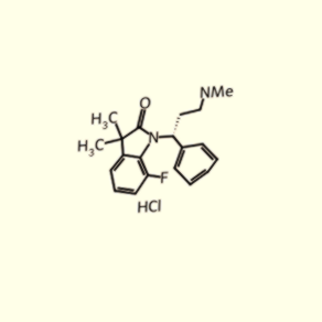 CNCC[C@H](c1ccccc1)N1C(=O)C(C)(C)c2cccc(F)c21.Cl